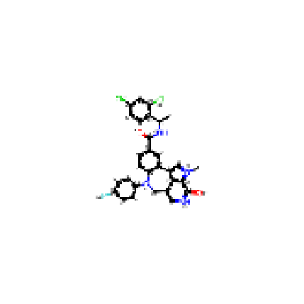 CC(NC(=O)c1ccc2c(c1)-c1cn(C)c3c(=O)[nH]cc(c13)CN2c1ccc(F)cc1)c1ccc(Cl)cc1Cl